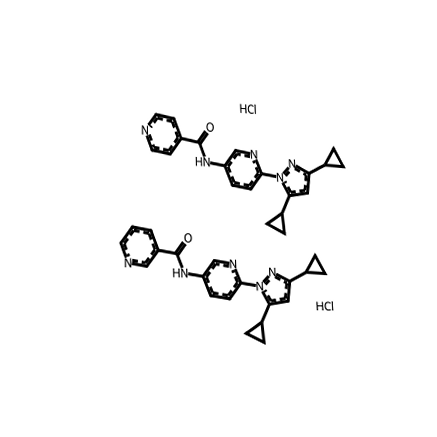 Cl.Cl.O=C(Nc1ccc(-n2nc(C3CC3)cc2C2CC2)nc1)c1cccnc1.O=C(Nc1ccc(-n2nc(C3CC3)cc2C2CC2)nc1)c1ccncc1